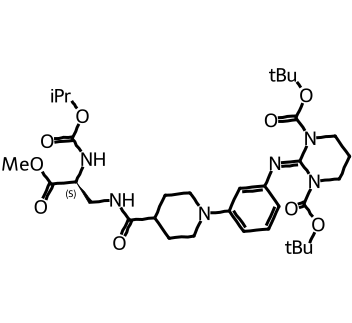 COC(=O)[C@H](CNC(=O)C1CCN(c2cccc(N=C3N(C(=O)OC(C)(C)C)CCCN3C(=O)OC(C)(C)C)c2)CC1)NC(=O)OC(C)C